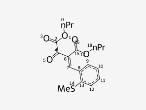 CCCOC(=O)C(=O)C(=Cc1ccccc1SC)C(=O)OCCC